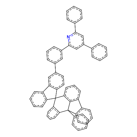 c1ccc(-c2cc(-c3ccccc3)nc(-c3cccc(-c4ccc5c(c4)-c4ccccc4C54c5ccccc5C5(c6ccccc6)c6ccccc6-c6cccc4c65)c3)c2)cc1